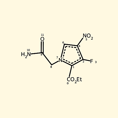 CCOC(=O)c1c(F)c([N+](=O)[O-])cn1CC(N)=O